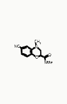 CNC(=O)C1CN(C)c2cc(C#N)ccc2O1